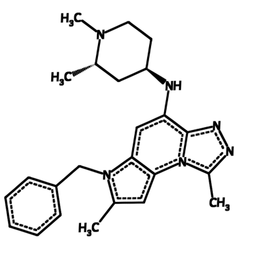 Cc1cc2c(cc(N[C@@H]3CCN(C)[C@@H](C)C3)c3nnc(C)n32)n1Cc1ccccc1